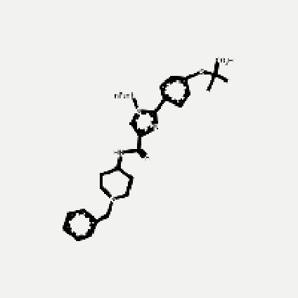 CCCCCn1cc(C(=O)NC2CCN(Cc3ccccc3)CC2)nc1-c1ccc(SC(C)(C)C(=O)O)cc1